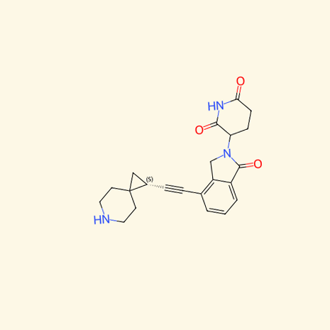 O=C1CCC(N2Cc3c(C#C[C@H]4CC45CCNCC5)cccc3C2=O)C(=O)N1